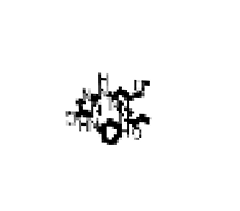 C=CC(=O)Nc1cccc(Nc2nc(Nc3cc(COC)n(C)n3)ncc2Cl)c1